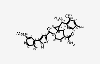 COc1cc(-c2cc(C(=O)N3CCC(C(N)=O)CC34CC4[C@H](C)c3ncc(F)cc3Cl)n[nH]2)c(F)cn1